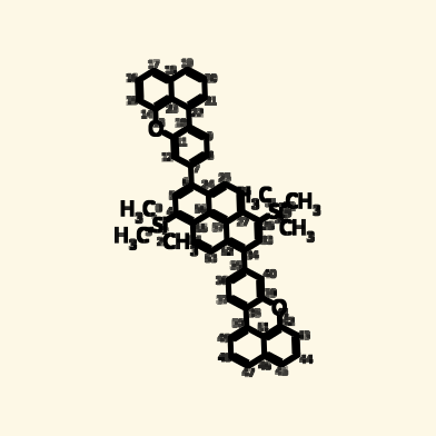 C[Si](C)(C)c1cc(-c2ccc3c(c2)Oc2cccc4cccc-3c24)c2ccc3c([Si](C)(C)C)cc(-c4ccc5c(c4)Oc4cccc6cccc-5c46)c4ccc1c2c43